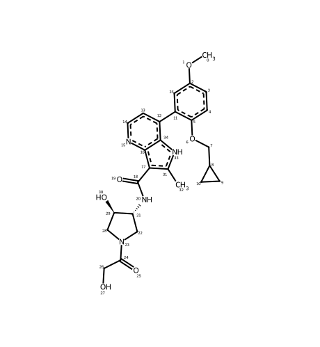 COc1ccc(OCC2CC2)c(-c2ccnc3c(C(=O)N[C@@H]4CN(C(=O)CO)C[C@H]4O)c(C)[nH]c23)c1